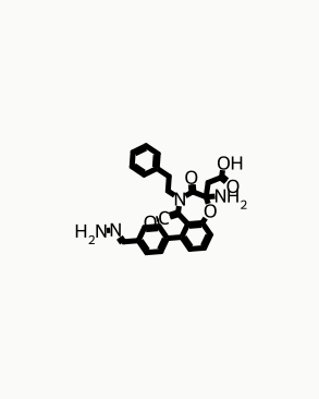 NN=Cc1ccc(-c2cccc3c2C(=C=O)N(CCc2ccccc2)C(=O)C(N)(CC(=O)O)O3)cc1